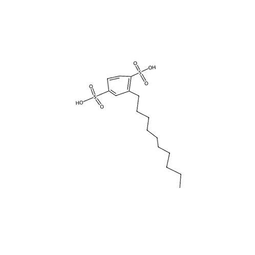 CCCCCCCCCCc1cc(S(=O)(=O)O)ccc1S(=O)(=O)O